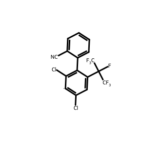 N#Cc1ccccc1-c1c(Cl)[c]c(Cl)cc1C(F)(C(F)(F)F)C(F)(F)F